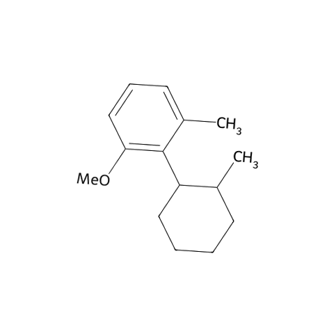 COc1cccc(C)c1C1CCCCC1C